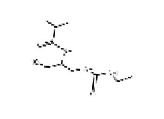 CCNC(=O)NCC(CO)NC(=O)C(C)C